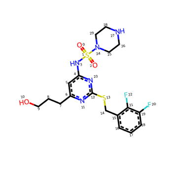 O=S(=O)(Nc1cc(CCCO)nc(SCc2cccc(F)c2F)n1)N1CCNCC1